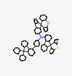 c1ccc(C2(c3ccccc3)c3ccccc3-c3c(-c4ccc(N(c5ccc6c(c5)C5(c7ccccc7Oc7ccccc75)c5ccccc5-6)c5cccc6c5-c5ccccc5C65c6ccccc6Sc6ccccc65)cc4)cccc32)cc1